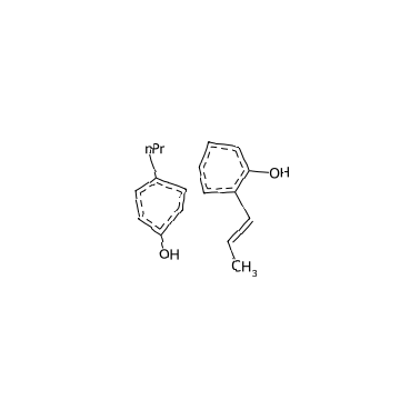 CC=Cc1ccccc1O.CCCc1ccc(O)cc1